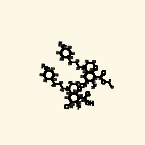 CCOC(=O)c1c(F)c(Cl)cc2c1OCCN2CCCc1ccc(F)cc1.O=C(O)c1c(F)c(Cl)cc2c1OCCN2CCCc1ccc(F)cc1